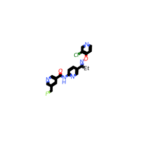 CC/C(=N\Oc1ccncc1Cl)c1ccc(NC(=O)c2cncc(CF)c2)nc1